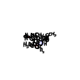 C=C1/C=C\C(C(=O)NS(=O)(=O)CC(C)C)=C/CN2CC(c3c(C(=O)N4C[C@H]5CC[C@@H](C4)N5C)cnn3C(C)C)=Cc3cc(OC)ccc3/C2=C/1C1CCCCC1